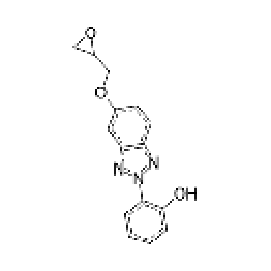 Oc1ccccc1-n1nc2ccc(OCC3CO3)cc2n1